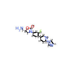 NC[C@H]1CN(c2ccc(-c3ccc(-n4ccnc4)nc3)c(F)c2)C(=O)O1